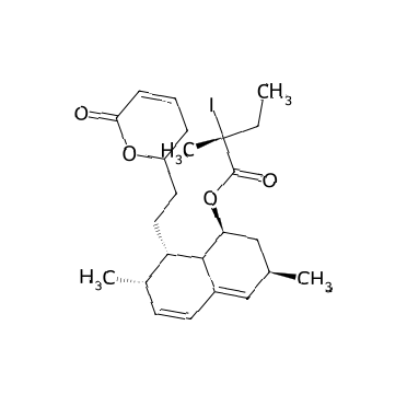 CC[C@@](C)(I)C(=O)O[C@H]1C[C@@H](C)C=C2C=C[C@H](C)[C@H](CCC3CC=CC(=O)O3)C21